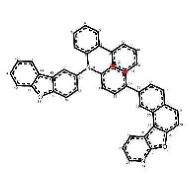 c1ccc(-c2ccccc2N(c2ccc(-c3ccc4ccc5oc6ncccc6c5c4c3)cc2)c2ccc3oc4ccccc4c3c2)cc1